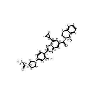 C[C@@H]1c2ccccc2CCN1C(=O)c1cc(C2CC2)n2nc(-c3ccc(N4CC[C@H](C(N)=O)C4)cc3F)nc2c1